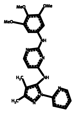 COc1cc(Nc2nccc(Nc3c(C)c(C)nn3-c3ccccn3)n2)cc(OC)c1OC